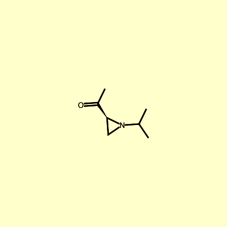 CC(=O)[C@@H]1CN1C(C)C